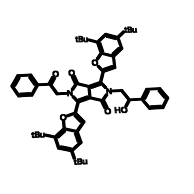 CC(C)(C)c1cc(C(C)(C)C)c2oc(C3=C4C(=O)N(CC(O)c5ccccc5)C(c5cc6cc(C(C)(C)C)cc(C(C)(C)C)c6o5)=C4C(=O)N3CC(=O)c3ccccc3)cc2c1